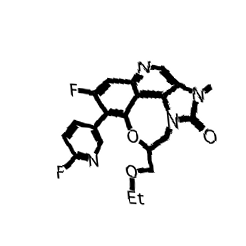 CCOCC1Cn2c(=O)n(C)c3cnc4cc(F)c(-c5ccc(F)nc5)c(c4c32)O1